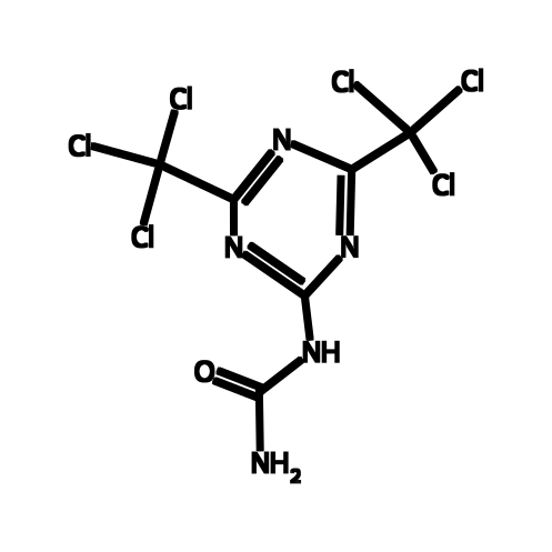 NC(=O)Nc1nc(C(Cl)(Cl)Cl)nc(C(Cl)(Cl)Cl)n1